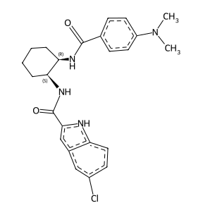 CN(C)c1ccc(C(=O)N[C@@H]2CCCC[C@@H]2NC(=O)c2cc3cc(Cl)ccc3[nH]2)cc1